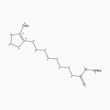 CCCCCCOC(=O)CCCCCCCCC1=C(OC(C)=O)CCC1